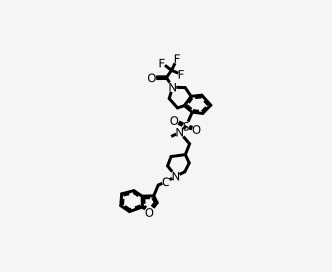 CN(CC1CCN(CCc2coc3ccccc23)CC1)S(=O)(=O)c1cccc2c1CCN(C(=O)C(F)(F)F)C2